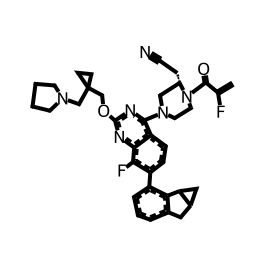 C=C(F)C(=O)N1CCN(c2nc(OCC3(CN4CCCC4)CC3)nc3c(F)c(-c4cccc5c4C4CC4C5)ccc23)C[C@@H]1CC#N